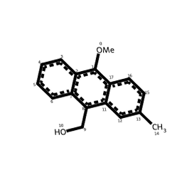 COc1c2ccccc2c(CO)c2cc(C)ccc12